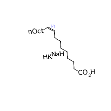 CCCCCCCC/C=C\CCCCCCCC(=O)O.[KH].[NaH]